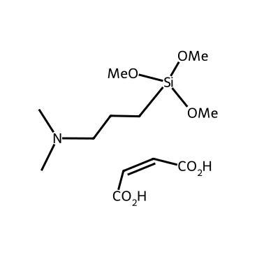 CO[Si](CCCN(C)C)(OC)OC.O=C(O)/C=C\C(=O)O